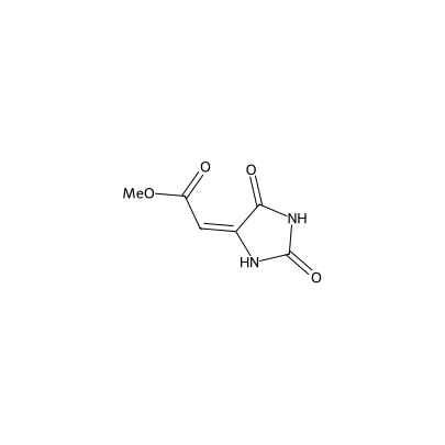 COC(=O)C=C1NC(=O)NC1=O